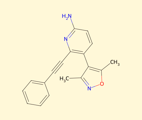 Cc1noc(C)c1-c1ccc(N)nc1C#Cc1ccccc1